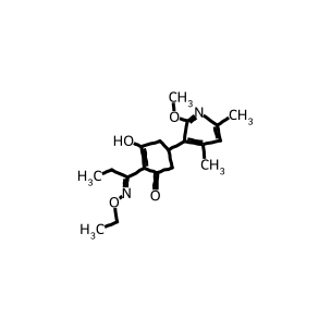 CCON=C(CC)C1=C(O)CC(c2c(C)cc(C)nc2OC)CC1=O